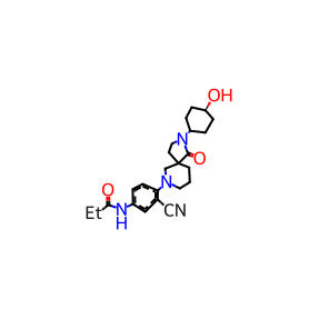 CCC(=O)Nc1ccc(N2CCCC3(CCN([C@H]4CC[C@H](O)CC4)C3=O)C2)c(C#N)c1